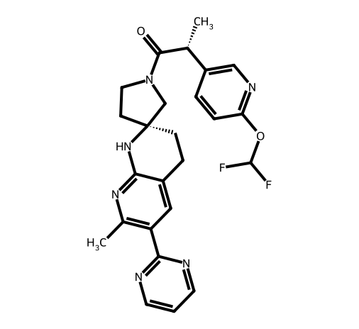 Cc1nc2c(cc1-c1ncccn1)CC[C@@]1(CCN(C(=O)[C@H](C)c3ccc(OC(F)F)nc3)C1)N2